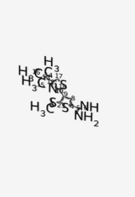 CSc1sc(C(=N)N)cc1-c1nc(C(C)(C)C)cs1